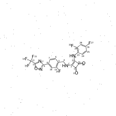 O=c1c(NCc2ccc(-c3noc(C(F)(F)F)n3)cc2F)c(Nc2ccc(F)cc2F)c1=O